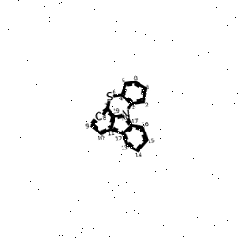 c1ccc2c(c1)Sc1cccc3c4ccccc4n-2c13